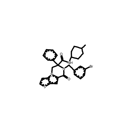 CC1CCC(NC(=O)C2(c3ccccc3)Cn3c(cc4sccc43)C(=O)N2Cc2cccc(Br)c2)CC1